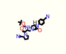 C=C(C(CN1C[C@@H]2CC1C(=O)N2c1ccc(C#N)cc1)NC(=O)OC(C)(C)C)N1CCCC1C#N